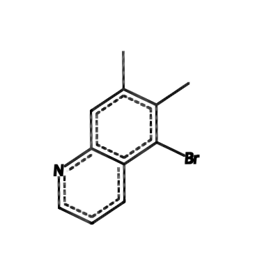 Cc1cc2ncccc2c(Br)c1C